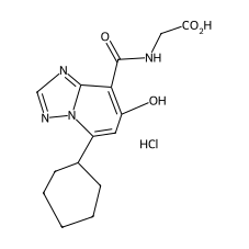 Cl.O=C(O)CNC(=O)c1c(O)cc(C2CCCCC2)n2ncnc12